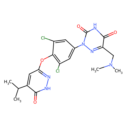 CC(C)c1cc(Oc2c(Cl)cc(-n3nc(CN(C)C)c(=O)[nH]c3=O)cc2Cl)n[nH]c1=O